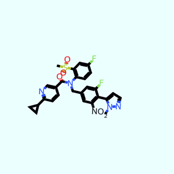 Cn1nccc1-c1c(F)cc(CN(C(=O)c2ccc(C3CC3)nc2)c2ccc(F)cc2S(C)(=O)=O)cc1[N+](=O)[O-]